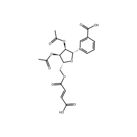 CC(=O)O[C@@H]1[C@H](OC(C)=O)[C@@H](COC(=O)/C=C/C(=O)O)O[C@H]1[n+]1cccc(C(=O)O)c1